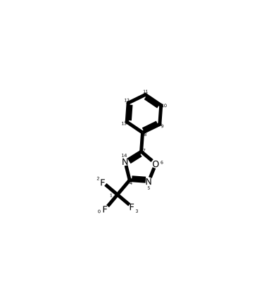 FC(F)(F)c1noc(-c2ccccc2)n1